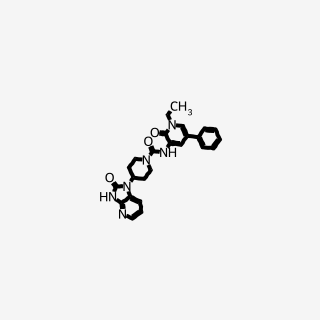 CCn1cc(-c2ccccc2)cc(NC(=O)N2CCC(n3c(=O)[nH]c4ncccc43)CC2)c1=O